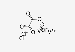 O=C([O-])C(=O)[O-].[Cl-].[Cl-].[Cl-].[O]=[V+2].[V+3]